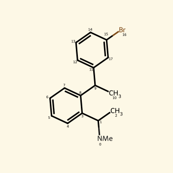 CNC(C)c1ccccc1C(C)c1cccc(Br)c1